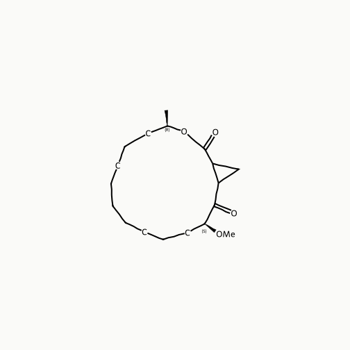 CO[C@H]1CCCCCCCCC[C@@H](C)OC(=O)C2CC2C1=O